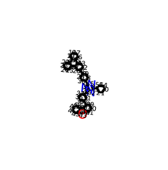 c1ccc(-c2nc(-c3ccc(-c4ccc5c6ccccc6c6ccccc6c5c4)cc3)nc(-c3cccc(-c4cccc5oc6ccccc6c45)c3)n2)cc1